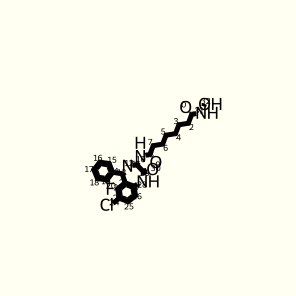 O=C(CCCCCCC(=O)NC1N=C(c2ccccc2F)c2cc(Cl)ccc2NC1=O)NO